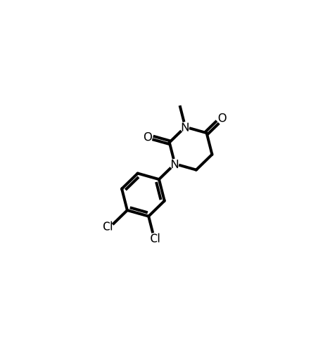 CN1C(=O)CCN(c2ccc(Cl)c(Cl)c2)C1=O